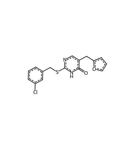 O=c1[nH]c(SCc2cccc(Cl)c2)ncc1Cc1ccco1